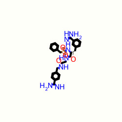 N=C(N)c1ccc(CNC(=O)CNC(=O)[C@@H](Cc2cccc(C(=N)N)c2)NS(=O)(=O)Cc2ccccc2)cc1